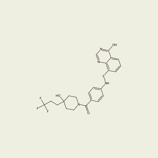 O=C(c1ccc(NSc2cccc3c(O)ncnc23)cc1)N1CCC(O)(CCC(F)(F)F)CC1